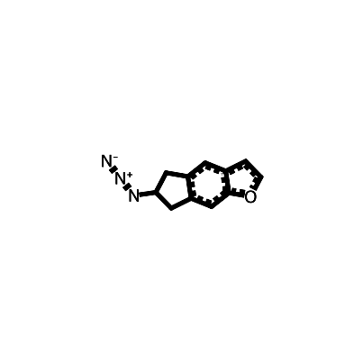 [N-]=[N+]=NC1Cc2cc3ccoc3cc2C1